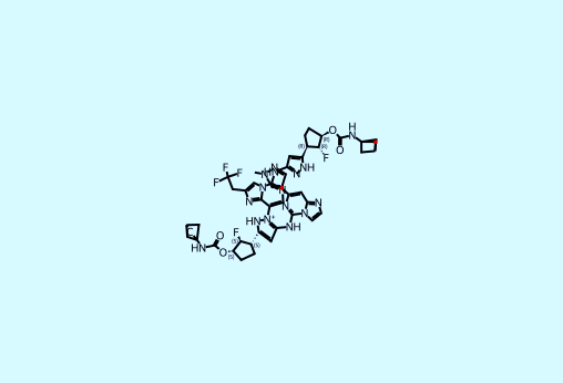 Cn1cc(-c2cc3nccn3c(Nc3cc([C@@H]4CC[C@H](OC(=O)NC56CC(C5)C6)[C@H]4F)[nH][n+]3-c3cnc(Nc4cc([C@H]5CC[C@@H](OC(=O)NC67CC(C6)C7)[C@@H]5F)[nH]n4)n4cc(CC(F)(F)F)nc34)n2)cn1